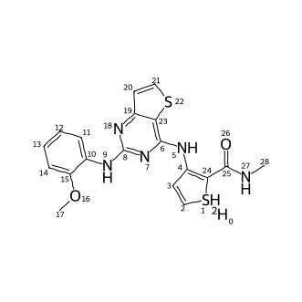 [2H][SH]1C=CC(Nc2nc(Nc3ccccc3OC)nc3ccsc23)=C1C(=O)NC